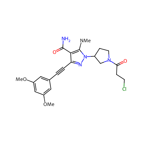 CNc1c(C(N)=O)c(C#Cc2cc(OC)cc(OC)c2)nn1C1CCN(C(=O)CCCl)C1